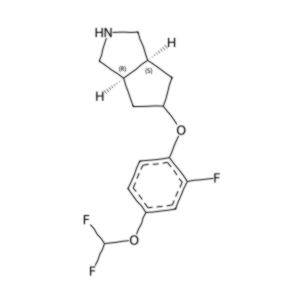 Fc1cc(OC(F)F)ccc1OC1C[C@H]2CNC[C@H]2C1